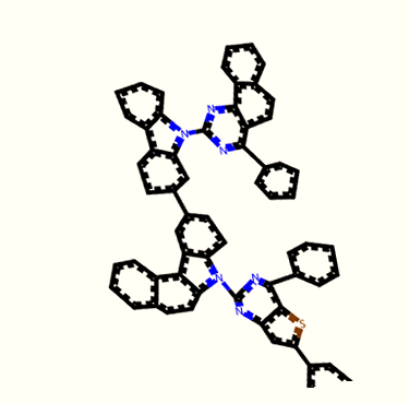 c1ccc(-c2cc3nc(-n4c5ccc(-c6ccc7c8ccccc8n(-c8nc(-c9ccccc9)c9ccc%10ccccc%10c9n8)c7c6)cc5c5c6ccccc6ccc54)nc(-c4ccccc4)c3s2)cc1